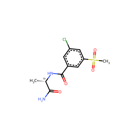 C[C@H](NC(=O)c1cc(Cl)cc(S(C)(=O)=O)c1)C(N)=O